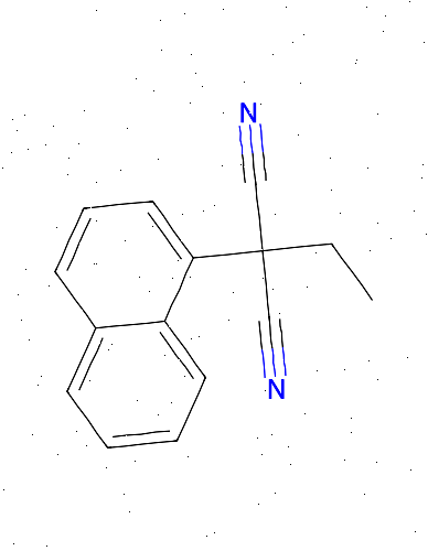 CCC(C#N)(C#N)c1cccc2ccccc12